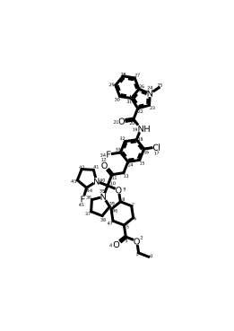 CCOC(=O)C1CCC(OC(C(=O)Cc2cc(Cl)c(NC(=O)c3cn(C)c4ccccc34)cc2F)(N2CCCC2)N2CCCC2F)CC1